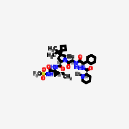 C=C[C@@H]1C[C@]1(NC(=O)[C@@H]1C[C@@]2(CN1C(=O)[C@@H](NC(=O)[C@@H](NC(=O)[C@@H]1CCCCN1CC)C1CCCCC1)C(C)(C)C)C(C)(C)C21CCC1)C(=O)NS(=O)(=O)C(F)(F)F